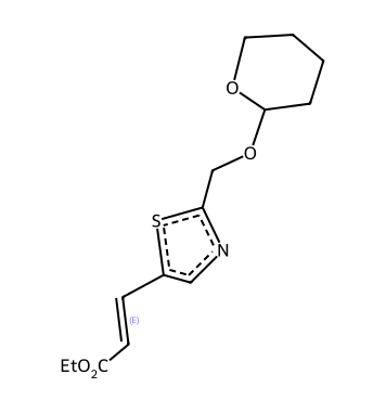 CCOC(=O)/C=C/c1cnc(COC2CCCCO2)s1